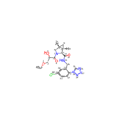 CC(C)(C)OC[C@@H](O)C(=O)N1C[C@@H]2C[C@@H]2[C@H]1C(=O)NCc1cc(Cl)ccc1-n1cnnn1